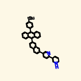 CC(C)(C)c1ccc(-c2c3ccccc3c(-c3ccc4ccc(-c5ccc(C6=CNCC=C6)nc5)cc4c3)c3ccccc23)cc1